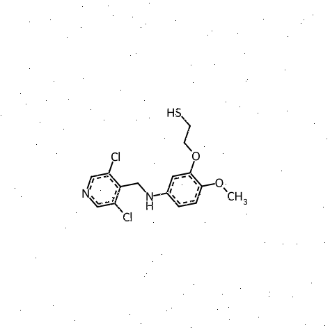 COc1ccc(NCc2c(Cl)cncc2Cl)cc1OCCS